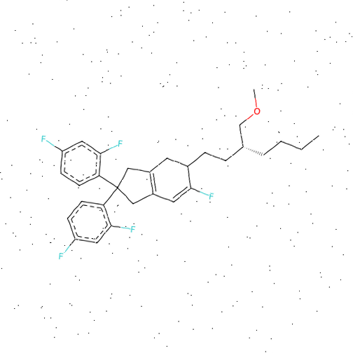 CCCC[C@H](CCC1CC2=C(C=C1F)CC(c1ccc(F)cc1F)(c1ccc(F)cc1F)C2)COC